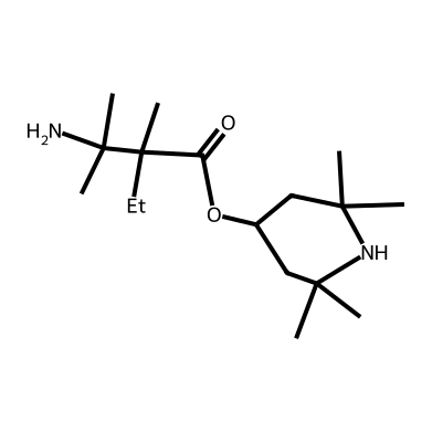 CCC(C)(C(=O)OC1CC(C)(C)NC(C)(C)C1)C(C)(C)N